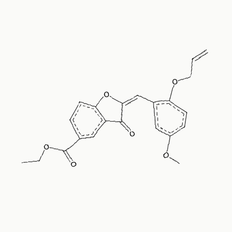 C=CCOc1ccc(OC)cc1C=C1Oc2ccc(C(=O)OCC)cc2C1=O